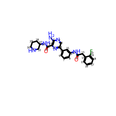 Nc1ncc(-c2cccc(NC(=O)Cc3ccccc3F)c2)nc1C(=O)NC1CCCNC1